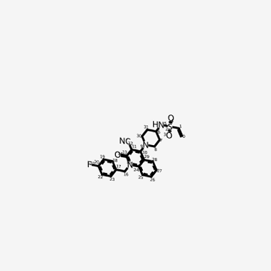 C=CS(=O)(=O)NC1CCN(c2c(C#N)c(=O)n(Cc3ccc(F)cc3)c3ccccc23)CC1